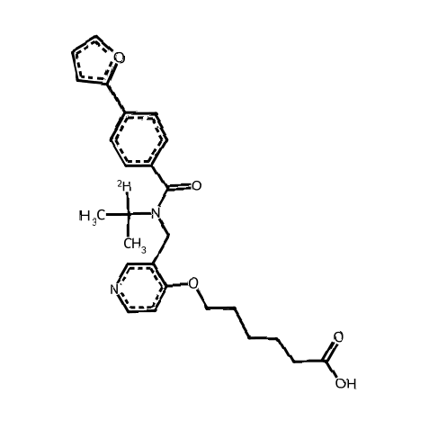 [2H]C(C)(C)N(Cc1cnccc1OCCCCCC(=O)O)C(=O)c1ccc(-c2ccco2)cc1